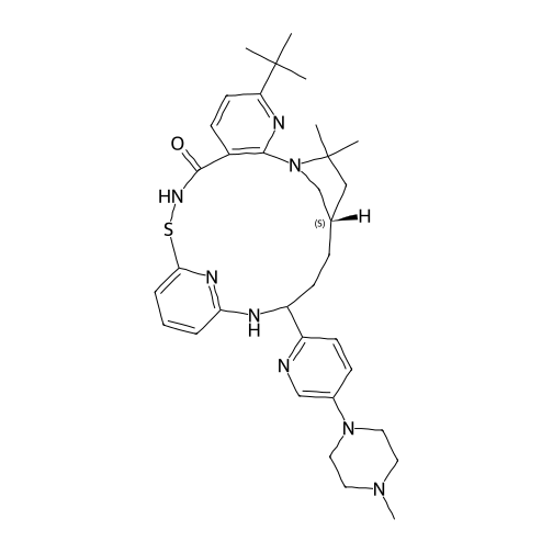 CN1CCN(c2ccc(C3CC[C@@H]4CN(c5nc(C(C)(C)C)ccc5C(=O)NSc5cccc(n5)N3)C(C)(C)C4)nc2)CC1